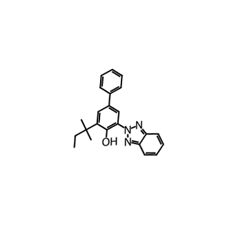 CCC(C)(C)c1cc(-c2ccccc2)cc(-n2nc3ccccc3n2)c1O